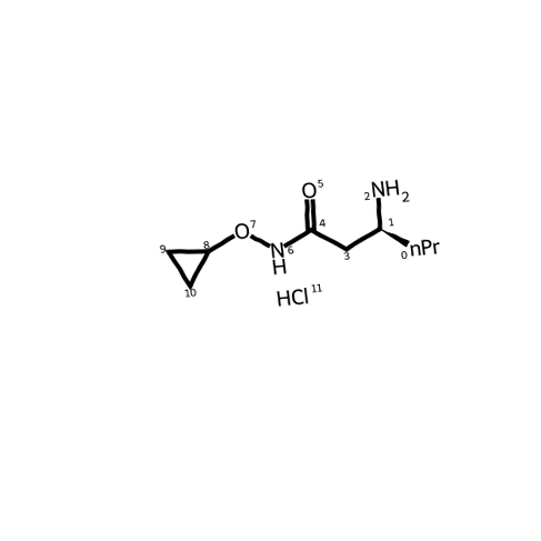 CCC[C@H](N)CC(=O)NOC1CC1.Cl